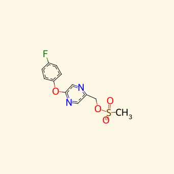 CS(=O)(=O)OCc1cnc(Oc2ccc(F)cc2)cn1